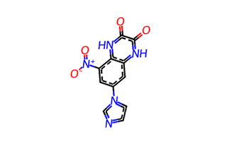 O=c1[nH]c2cc(-n3ccnc3)cc([N+](=O)[O-])c2[nH]c1=O